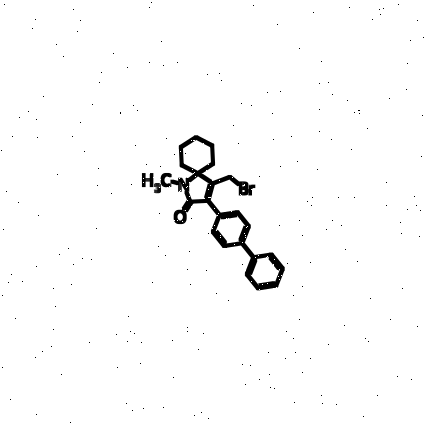 CN1C(=O)C(c2ccc(-c3ccccc3)cc2)=C(CBr)C12CCCCC2